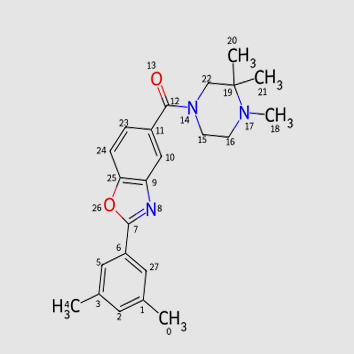 Cc1cc(C)cc(-c2nc3cc(C(=O)N4CCN(C)C(C)(C)C4)ccc3o2)c1